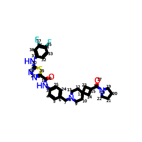 O=C(Nc1ccc(CN2CCC3(CC2)CC(C(=O)N2CCCC2)C3)cc1)c1nnc(Nc2ccc(F)c(F)c2)s1